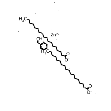 C=Cc1ccccc1.CCCCCCCCCCCCCCCCCC(=O)[O-].CCCCCCCCCCCCCCCCCC(=O)[O-].[Zn+2]